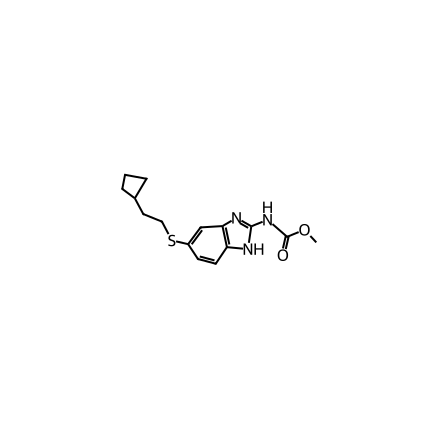 COC(=O)Nc1nc2cc(SCCC3CCC3)ccc2[nH]1